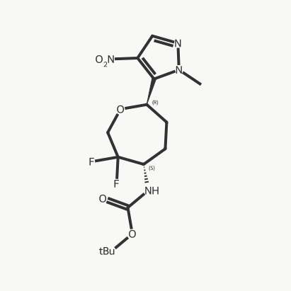 Cn1ncc([N+](=O)[O-])c1[C@H]1CC[C@H](NC(=O)OC(C)(C)C)C(F)(F)CO1